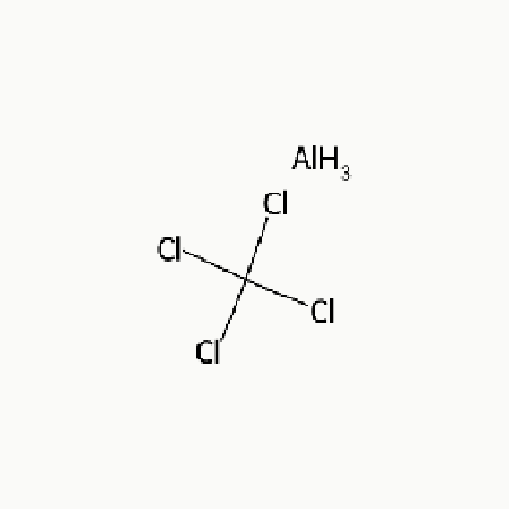 ClC(Cl)(Cl)Cl.[AlH3]